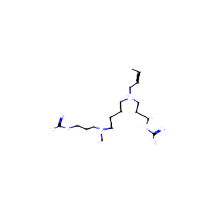 CC/C=C\CN(CCCCN(C)CCCNC(=N)N)CCCNC(=N)N